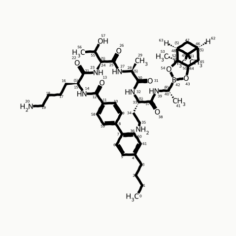 CCCCc1ccc(-c2ccc(C(=O)N[C@@H](CCCCN)C(=O)N[C@H](C(=O)N[C@@H](C)C(=O)N[C@@H](CCN)C(=O)N[C@@H](C)B3OC4C[C@@H]5C[C@@H](C5(C)C)[C@]4(C)O3)C(C)O)cc2)cc1